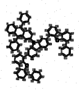 c1ccc(-c2c3ccccc3c(-c3ccccc3)c3cc(-n4c5cc(-c6cccc7c6oc6c(-c8ccccc8)cccc67)ccc5c5ccc(-c6cccc7c6oc6c(-c8ccccc8)cccc67)cc54)ccc23)cc1